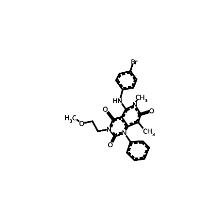 COCCn1c(=O)c2c(Nc3ccc(Br)cc3)n(C)c(=O)c(C)c2n(-c2ccccc2)c1=O